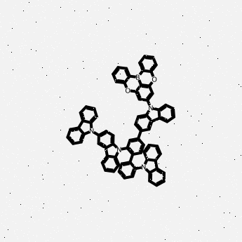 C1=CC2c3ccccc3N(c3ccccc3-c3ccc(-c4ccc5c(c4)c4ccccc4n5-c4cc5c6c(c4)Oc4ccccc4B6c4ccccc4O5)cc3-n3c4ccccc4c4cc(-n5c6ccccc6c6ccccc65)ccc43)C2C=C1